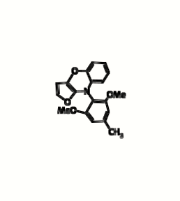 COc1cc(C)cc(OC)c1N1c2ccccc2Oc2ccoc21